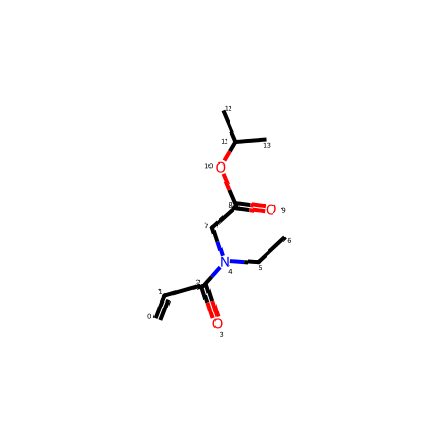 C=CC(=O)N(CC)CC(=O)OC(C)C